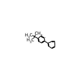 CC(C)(C)c1c[c]c(-c2ccccc2)cc1